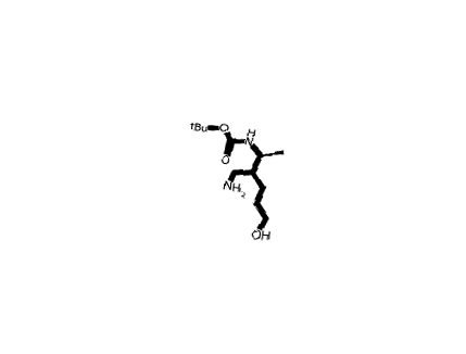 C[C@H](NC(=O)OC(C)(C)C)C(CN)CCCO